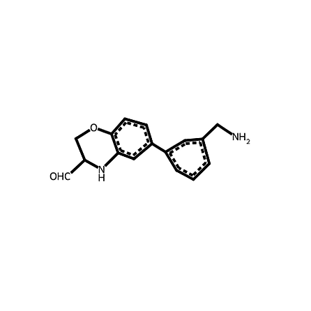 NCc1cccc(-c2ccc3c(c2)NC(C=O)CO3)c1